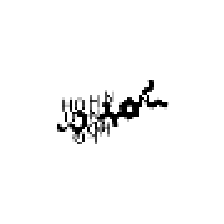 CCCN(CCC)c1ccc(/C(C)=C(\C#N)C(=O)N[C@H]2C(O)O[C@H](CC)[C@@H](O)[C@@H]2O)cc1